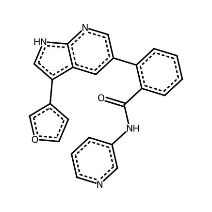 O=C(Nc1cccnc1)c1ccccc1-c1cnc2[nH]cc(-c3ccoc3)c2c1